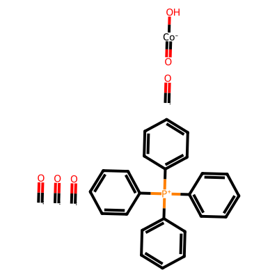 [C]=O.[C]=O.[C]=O.[C]=O.[O]=[Co-][OH].c1ccc([P+](c2ccccc2)(c2ccccc2)c2ccccc2)cc1